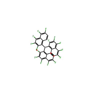 Fc1ccc2c(B(c3c(F)c(F)c(F)c4c(F)c(F)ccc34)c3c(F)c(F)c(F)c4c(F)c(F)ccc34)c(F)c(F)c(F)c2c1F